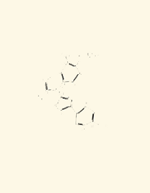 COc1ccc(N(C(N)=O)c2nc(-c3ccc(F)cc3)cs2)cc1C(F)(F)F